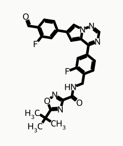 CC(C)(C)c1nc(C(=O)NCc2ccc(-c3ncnn4cc(-c5ccc(C=O)c(F)c5)cc34)cc2F)no1